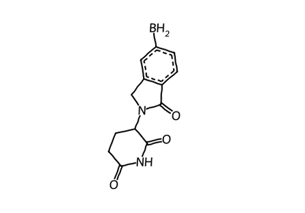 Bc1ccc2c(c1)CN(C1CCC(=O)NC1=O)C2=O